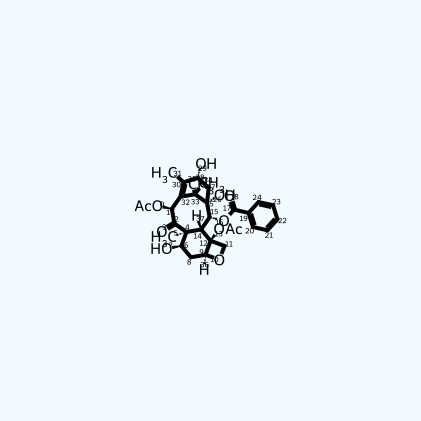 CC(=O)O[C@@H]1C(=O)[C@]2(C)[C@H](O)C[C@@H]3OC[C@@]3(OC(C)=O)[C@H]2[C@@H](OC(=O)c2ccccc2)[C@]2(O)C[C@@H](O)C(C)=C1C2(C)C